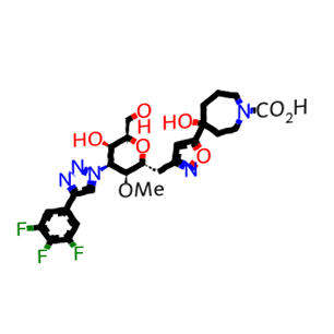 CO[C@@H]1[C@@H](n2cc(-c3cc(F)c(F)c(F)c3)nn2)[C@@H](O)[C@@H](CO)O[C@@H]1Cc1cc(C2(O)CCCN(C(=O)O)CC2)on1